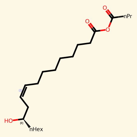 CCCCCC[C@@H](O)C/C=C\CCCCCCCC(=O)OC(=O)CCC